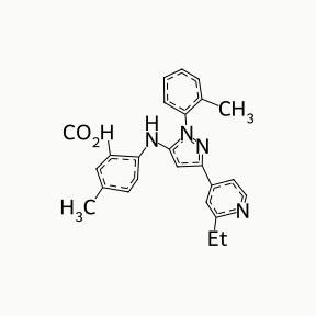 CCc1cc(-c2cc(Nc3ccc(C)cc3C(=O)O)n(-c3ccccc3C)n2)ccn1